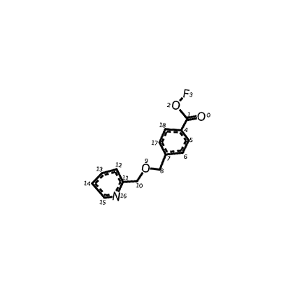 O=C(OF)c1ccc(COCc2ccccn2)cc1